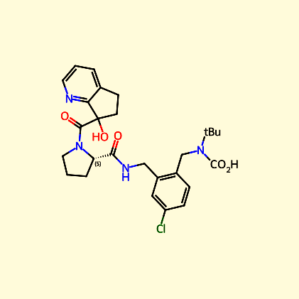 CC(C)(C)N(Cc1ccc(Cl)cc1CNC(=O)[C@@H]1CCCN1C(=O)C1(O)CCc2cccnc21)C(=O)O